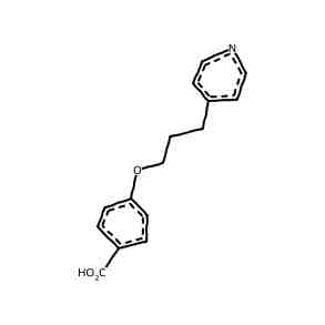 O=C(O)c1ccc(OCCCc2ccncc2)cc1